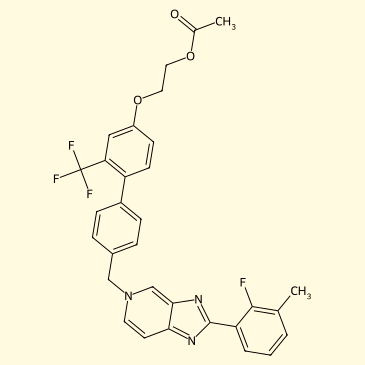 CC(=O)OCCOc1ccc(-c2ccc(Cn3ccc4nc(-c5cccc(C)c5F)nc-4c3)cc2)c(C(F)(F)F)c1